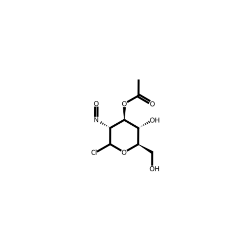 CC(=O)O[C@H]1[C@H](O)[C@@H](CO)OC(Cl)[C@@H]1N=O